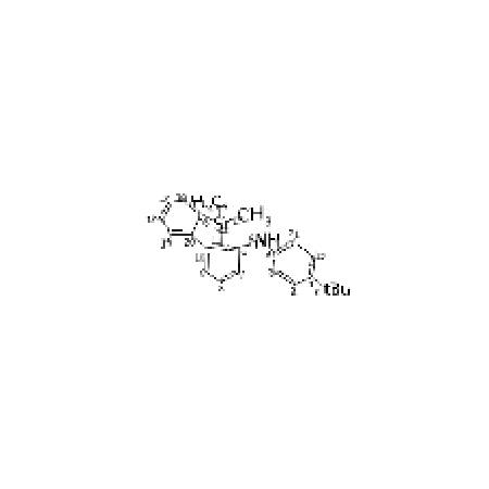 CC(C)(C)c1ccc(Nc2cccc3c2[Si](C)(C)c2ccccc2-3)cc1